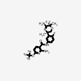 [2H]C([2H])([2H])Oc1ccc(C(=O)Nc2ccc(F)c([C@]3(C)CO[C@@](C)(C(F)(F)F)C(N)=N3)c2)c(N)n1